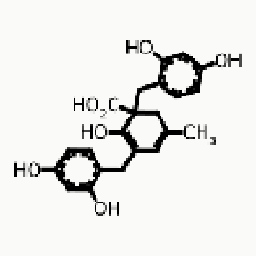 CC1=CC(Cc2ccc(O)cc2O)=C(O)C(Cc2ccc(O)cc2O)(C(=O)O)C1